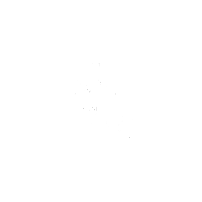 CC(C)CC(N)C(=O)N[C@H](CNC(=O)C=Cc1ccccc1)C(C)C.Cl